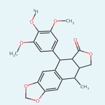 [3H]Oc1c(OC)cc(C2c3cc4c(cc3C(C)C3COC(=O)C23)OCO4)cc1OC